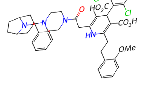 COc1ccccc1CCC1=C(C(=O)O)C(c2c(Cl)cccc2Cl)C(C(=O)O)=C(CC(=O)N2CCN(C3CC4CCC(C3)N4Cc3ccccc3)CC2)N1